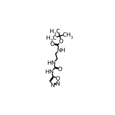 CC(C)(C)OC(=O)NCCNC(=O)Nc1cnno1